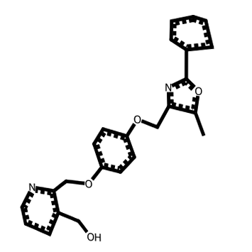 Cc1oc(-c2ccccc2)nc1COc1ccc(OCc2ncccc2CO)cc1